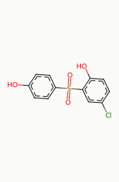 O=S(=O)(c1ccc(O)cc1)c1cc(Cl)ccc1O